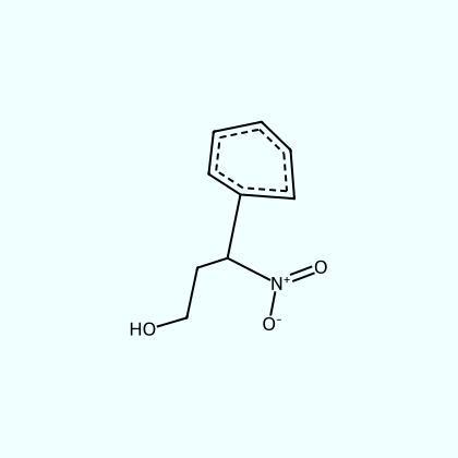 O=[N+]([O-])C(CCO)c1ccccc1